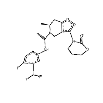 C[C@H]1Cc2noc(N3CCCOC3=O)c2CN1C(=O)Nc1ccc(F)c(C(F)F)c1